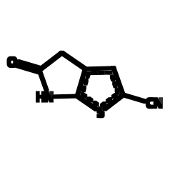 N#Cc1cc2c(s1)NC(=O)C2